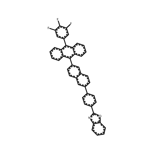 Fc1cc(-c2c3ccccc3c(-c3ccc4cc(-c5ccc(-c6nc7ccccc7o6)cc5)ccc4c3)c3ccccc23)cc(F)c1F